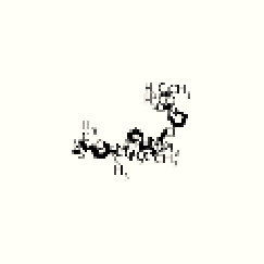 Cc1ncsc1-c1ccc([C@H](C)NC(=O)[C@@H]2CCCN2C(=O)C(NC(=O)COC2CCCN(C(=O)OC(C)(C)C)C2)C(C)(C)C)cc1